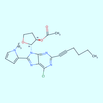 CCCCC#Cc1nc(Cl)c2nc(-c3cccn3C)n([C@@H]3OCC[C@H]3OC(C)=O)c2n1